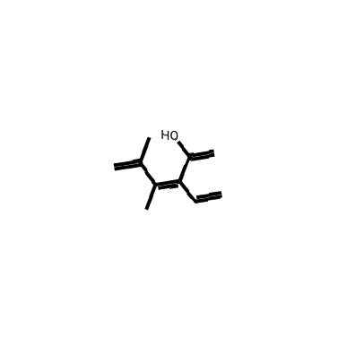 C=C/C(C(=C)O)=C(\C)C(=C)C